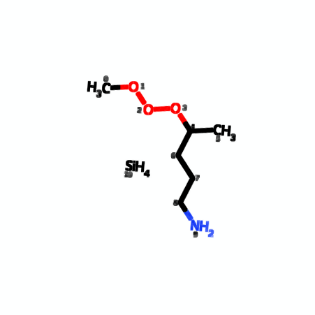 COOOC(C)CCCN.[SiH4]